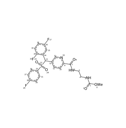 COC(=O)NCCNC(=O)c1ccc(C(c2cc(F)ccc2F)S(=O)(=O)c2ccc(F)cc2)cn1